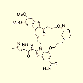 COc1cc2sc(C(=O)CCC(=O)O)c(C/C=C/Cn3c(NC(=O)c4cc(C)n[nH]4)nc4cc(C(N)=O)cc(OCCCN5CCOCC5)c43)c2cc1OC